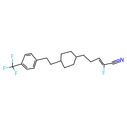 N#CC(F)=CCCC1CCC(CCc2ccc(C(F)(F)F)cc2)CC1